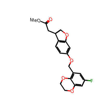 COC(=O)CC1COc2cc(OCc3cc(F)cc4c3OCCO4)ccc21